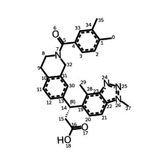 Cc1ccc(C(=O)N2CCc3ccc([C@@H](CC(=O)O)c4ccc5c(nnn5C)c4C)cc3C2)cc1C